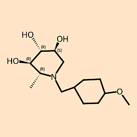 COC1CCC(CN2C[C@H](O)[C@@H](O)[C@H](O)[C@H]2C)CC1